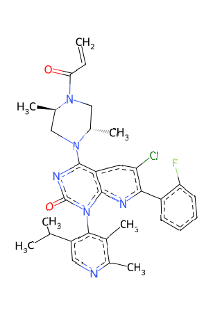 C=CC(=O)N1C[C@H](C)N(c2nc(=O)n(-c3c(C(C)C)cnc(C)c3C)c3nc(-c4ccccc4F)c(Cl)cc23)C[C@H]1C